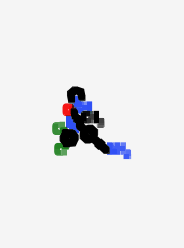 Cc1c(C(=O)NN2CCCCC2)nn(-c2ccc(Cl)cc2Cl)c1-c1ccc(C#CCN)cc1